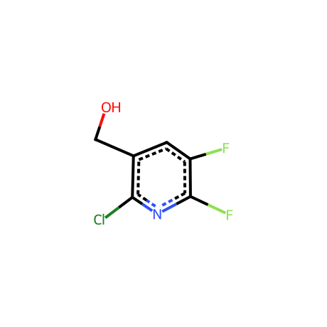 OCc1cc(F)c(F)nc1Cl